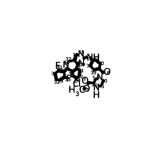 COC(=O)C1CN(C(=O)c2ccc(Nc3ncc4c(n3)-c3ccc(Cl)cc3C(c3c(F)cccc3F)=NC4)cc2)CCN1